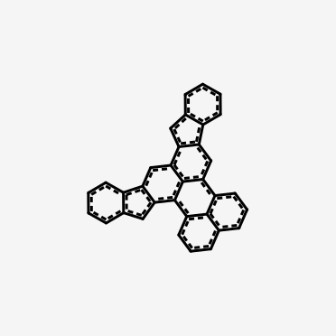 c1ccc2c(c1)cc1c2cc2c3cccc4cccc(c43)c3c4cc5ccccc5c4cc1c23